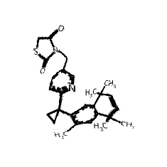 Cc1cc2c(cc1C1(c3ccc(CN4C(=O)CSC4=O)cn3)CC1)C(C)(C)C=CC2(C)C